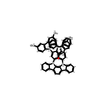 CC(C)(C)c1ccc2c(c1)B1c3c(cc(-n4c5ccccc5c5ccc6c7ccccc7n(-c7ccc(N(c8ccccc8)c8ccccc8)cc7)c6c54)cc3-n3c4ccc(C(C)(C)C)cc4c4cc(C(C)(C)C)cc1c43)O2